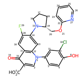 O=C(O)c1cn(-c2ccc(O)c(Cl)c2)c2cc(N3CCC[C@@H]3COc3ccccn3)c(F)cc2c1=O